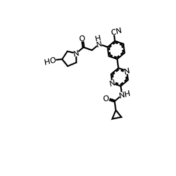 N#Cc1ccc(-c2cnc(NC(=O)C3CC3)cn2)cc1NCC(=O)N1CCC(O)C1